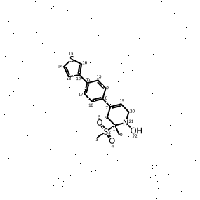 CC1(S(C)(=O)=O)CC(c2ccc(-c3ccsc3)cc2)=CCN1O